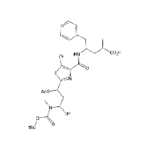 CC(=O)OC(CC(C(C)C)N(C)C(=O)OC(C)(C)C)c1nc(C(=O)NC(Cc2ccccc2)CC(C)C(=O)O)c(C(C)C)s1